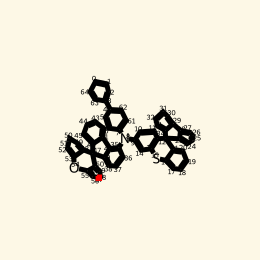 c1ccc(-c2ccc(N(c3ccc4c(c3)Sc3ccccc3C43c4ccccc4-c4ccccc43)c3cccc4c3-c3ccccc3C43c4ccccc4Oc4ccccc43)cc2)cc1